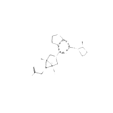 C[C@H]1CCN1c1nc2c(c(N3C[C@@H]4[C@@H](CC(=O)O)[C@@H]4C3)n1)CCS2